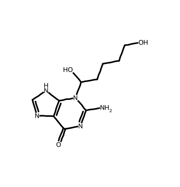 Nc1nc(=O)c2nc[nH]c2n1C(O)CCCCO